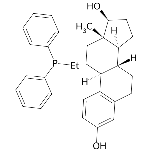 CCP(c1ccccc1)c1ccccc1.C[C@]12CC[C@@H]3c4ccc(O)cc4CC[C@H]3[C@@H]1CC[C@@H]2O